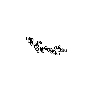 CC(C)(C)OC(=O)[C@@H](Cc1cccc(CN(CCOc2cccc(C[C@H](C(=O)OC(C)(C)C)[C@H]3CCN(C(=O)OC(C)(C)C)C3)c2)C(=O)Cl)c1)[C@H]1CCN(C(=O)OC(C)(C)C)C1